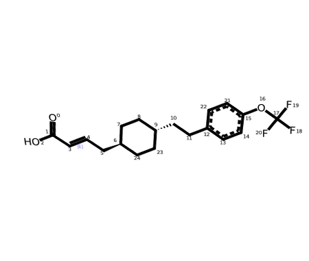 O=C(O)/C=C/C[C@H]1CC[C@H](CCc2ccc(OC(F)(F)F)cc2)CC1